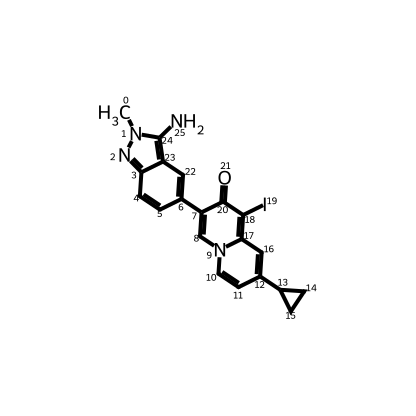 Cn1nc2ccc(-c3cn4ccc(C5CC5)cc4c(I)c3=O)cc2c1N